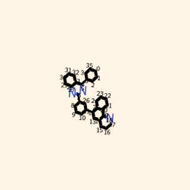 c1ccc(-c2nc(-c3cccc(-c4cc5cccnc5c5ccccc45)c3)nc3ccccc23)cc1